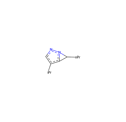 CCCC1c2c(C(C)C)cnn21